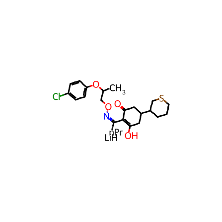 CCCC(=NOCC(C)Oc1ccc(Cl)cc1)C1=C(O)CC(C2CCCSC2)CC1=O.[LiH]